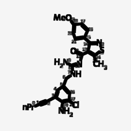 CCCC#Cc1cc(CN/C(N)=N/C(=O)c2c(-c3ccc(OC)cc3)nsc2C)cc(Cl)c1N